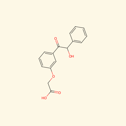 O=C(O)COc1cccc(C(=O)C(O)c2ccccc2)c1